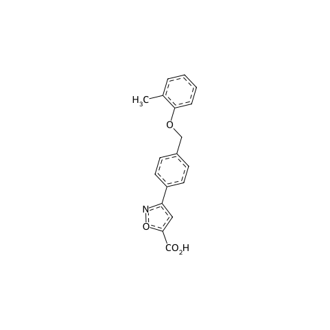 Cc1ccccc1OCc1ccc(-c2cc(C(=O)O)on2)cc1